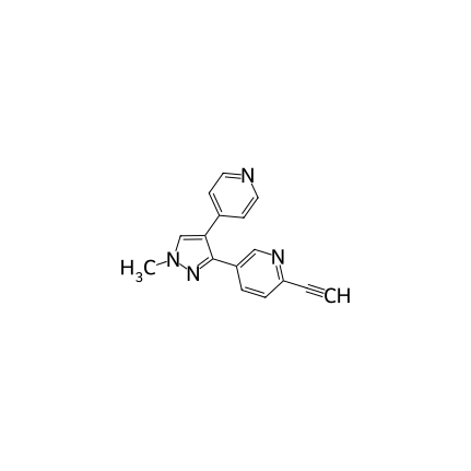 C#Cc1ccc(-c2nn(C)cc2-c2ccncc2)cn1